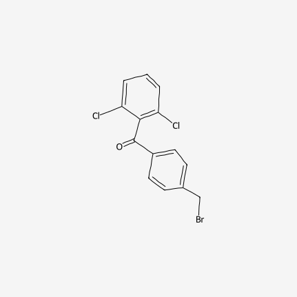 O=C(c1ccc(CBr)cc1)c1c(Cl)cccc1Cl